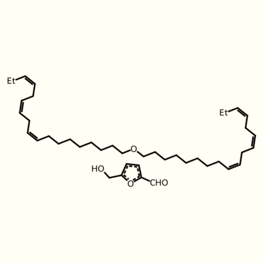 CC/C=C\C/C=C\C/C=C\CCCCCCCCOCCCCCCCC/C=C\C/C=C\C/C=C\CC.O=Cc1ccc(CO)o1